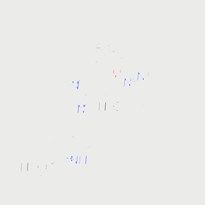 Cc1ccn(-c2ccccc2C(Oc2ccnc(N3CCC4(CC3)CN[C@H](C(=O)O)C4)c2)C(F)(F)F)n1